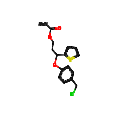 CNC(=O)OCCC(Oc1ccc(CCl)cc1)c1cccs1